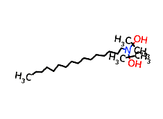 CCCCCCCCCCCCCCCCN(C(C)(C)O)C(C)(C)O